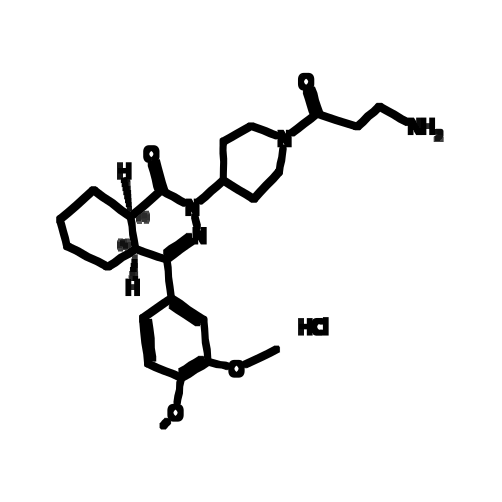 COc1ccc(C2=NN(C3CCN(C(=O)CCN)CC3)C(=O)[C@@H]3CCCC[C@H]23)cc1OC.Cl